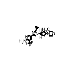 C[C@H]1COCCN1C1C[C@@H]2[C@H](C1)[C@H]2n1cc(-c2cnc(N)c(C(F)(F)F)c2)nc1C1CC1